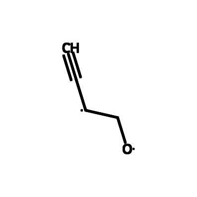 C#C[CH]C[O]